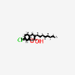 CCCCCCCCC(Cc1ccc(Cl)cc1)C(=O)O